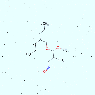 CCCC(CCC)COC(OC)C(C)CN=O